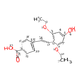 CCOc1cc(O)cc(OCC)c1C=Cc1ccc(C(=O)O)cc1